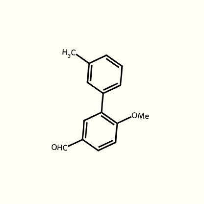 COc1ccc(C=O)cc1-c1cccc(C)c1